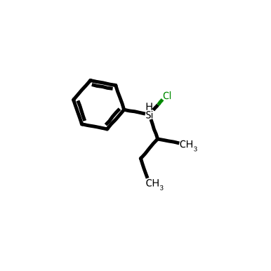 CCC(C)[SiH](Cl)c1ccccc1